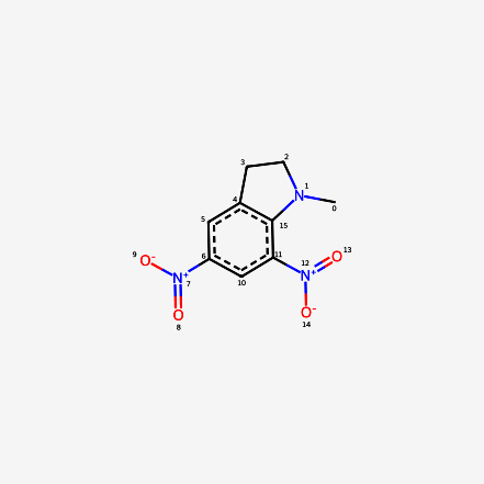 CN1CCc2cc([N+](=O)[O-])cc([N+](=O)[O-])c21